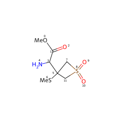 COC(=O)C(N)C1(SC)CS(=O)(=O)C1